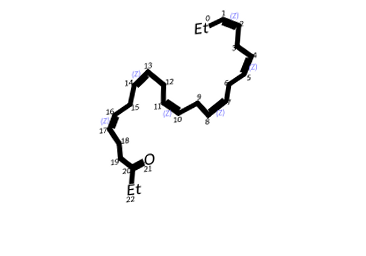 CC/C=C\C/C=C\C/C=C\C/C=C\C/C=C\C/C=C\CCC(=O)CC